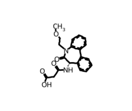 COCCN1C(=O)[C@@H](NC(=O)CC(=O)O)c2ccccc2-c2ccccc21